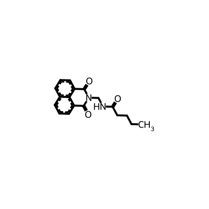 CCCCC(=O)NCN1C(=O)c2cccc3cccc(c23)C1=O